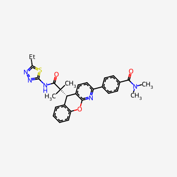 CCc1nnc(NC(=O)C(C)(C)[C@H]2c3ccccc3Oc3nc(-c4ccc(C(=O)N(C)C)cc4)ccc32)s1